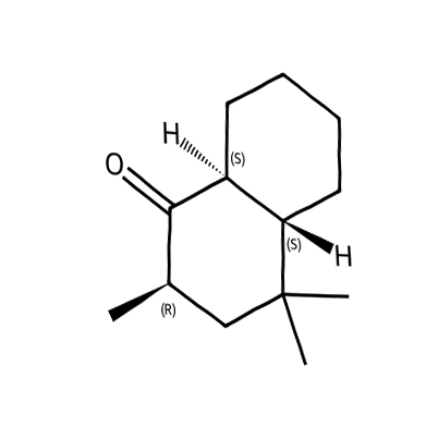 C[C@@H]1CC(C)(C)[C@H]2CCCC[C@@H]2C1=O